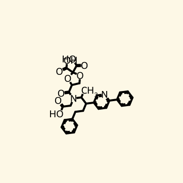 CC(C(CCc1ccccc1)c1ccc(-c2ccccc2)nc1)N(CC(=O)O)C(=O)C1COC(C(=O)O)(C(=O)O)O1